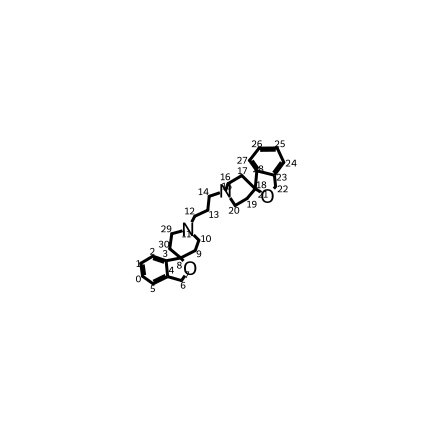 c1ccc2c(c1)COC21CCN(CCCN2CCC3(CC2)OCc2ccccc23)CC1